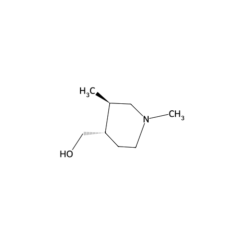 C[C@H]1CN(C)CC[C@@H]1CO